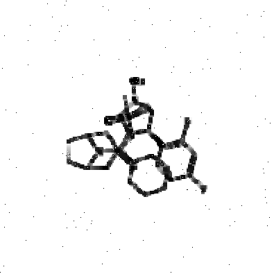 CC(C)(C)N1CC(C(=O)N2C3CCC2CC(CS(C)(=O)=O)(C2CCCCC2)C3)[C@H](c2ccc(F)cc2F)C1